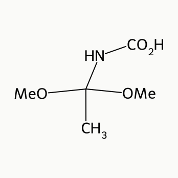 COC(C)(NC(=O)O)OC